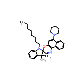 CCCCCCCCN1c2ccccc2C(C)(C)C12C=Nc1c(cc(N3CCCCC3)c3ccccc13)O2